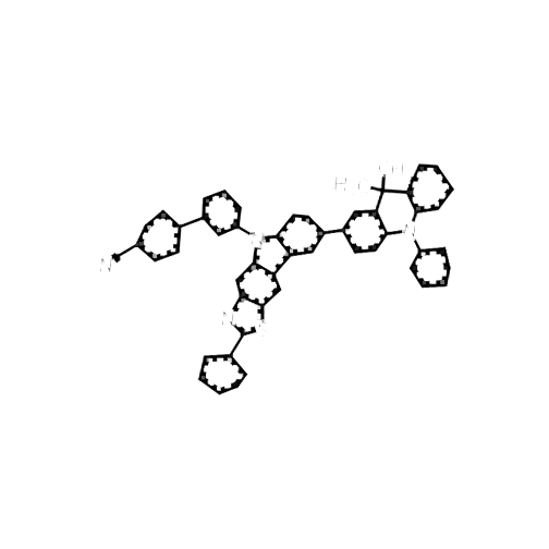 CC1(C)c2ccccc2N(c2ccccc2)c2ccc(-c3ccc4c(c3)c3cc5sc(-c6ccccc6)nc5cc3n4-c3cccc(-c4ccc(C#N)cc4)c3)cc21